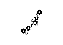 COc1ccccc1N1CCN(CCn2cnc3sc4c(c3c2=O)CN(Cc2ccccc2)C4)CC1